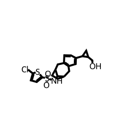 O=S(=O)(NC1C2CCC1Cc1cc(C3CC3CO)ccc1C2)c1ccc(Cl)s1